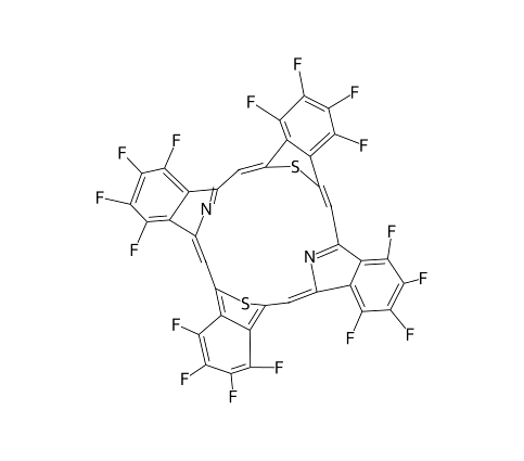 Fc1c(F)c(F)c2c(c1F)-c1cc3sc(cc4nc(cc5sc(cc-2n1)c1c(F)c(F)c(F)c(F)c51)-c1c(F)c(F)c(F)c(F)c1-4)c1c(F)c(F)c(F)c(F)c31